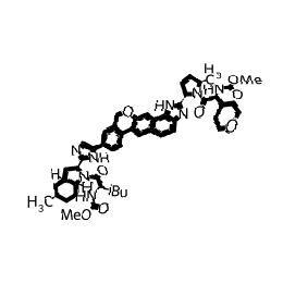 CC[C@H](C)[C@H](NC(=O)OC)C(=O)N1[C@H](c2ncc(-c3ccc4c(c3)COc3cc5c(ccc6nc([C@@H]7CC[C@H](C)N7C(=O)[C@@H](NC(=O)OC)C7CCOCC7)[nH]c65)cc3-4)[nH]2)C[C@@H]2C[C@@H](C)CC[C@@H]21